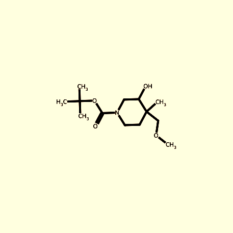 COCC1(C)CCN(C(=O)OC(C)(C)C)CC1O